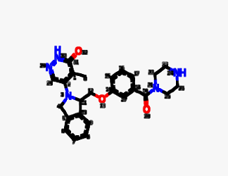 Cc1c(N2Cc3ccccc3C2COc2cccc(C(=O)N3CCNCC3)c2)cn[nH]c1=O